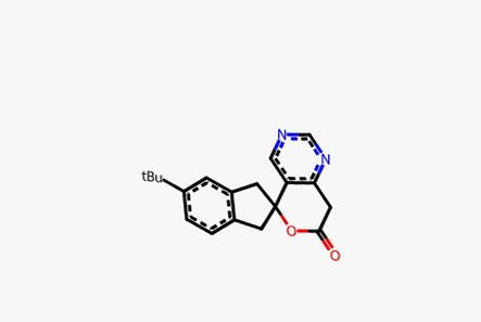 CC(C)(C)c1ccc2c(c1)CC1(C2)OC(=O)Cc2ncncc21